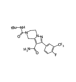 CC(C)(C)NC(=O)N1CCn2nc(-c3ccc(F)c(C(F)(F)F)c3)c(C(N)=O)c2C1